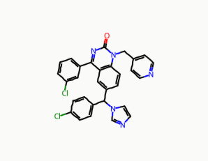 O=c1nc(-c2cccc(Cl)c2)c2cc(C(c3ccc(Cl)cc3)n3ccnc3)ccc2n1Cc1ccncc1